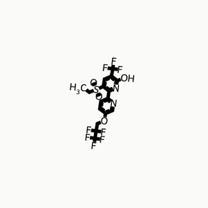 CCS(=O)(=O)c1cc(C(F)(F)F)c(O)nc1-c1ccc(OCC(F)(F)C(F)(F)F)cn1